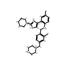 Cc1ccc(OCc2ccc(CN3CCOCC3)cc2C)c(-c2csc(N3CCCCC3)n2)c1